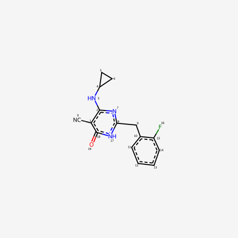 N#Cc1c(NC2CC2)nc(Cc2ccccc2F)[nH]c1=O